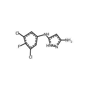 Nc1cc(Nc2cc(Cl)c(F)c(Cl)c2)[nH]n1